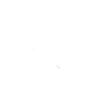 COc1c(C)cc(C(C)C)nc1C